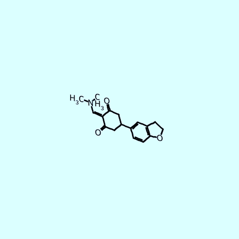 CN(C)C=C1C(=O)CC(c2ccc3c(c2)CCO3)CC1=O